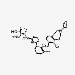 CO/C(Nc1cccc(-c2cccc(C)c2OCc2ccc3c(c2Cl)CCN(C2COC2)C3)n1)=C(/C=N)C(=O)O